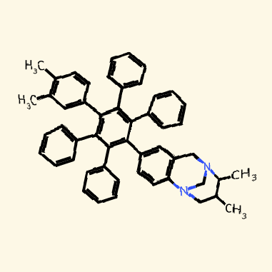 Cc1ccc(-c2c(-c3ccccc3)c(-c3ccccc3)c(-c3ccc4c(c3)CN3CN4CC(C)C3C)c(-c3ccccc3)c2-c2ccccc2)cc1C